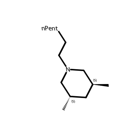 CCCCCCCN1C[C@@H](C)C[C@H](C)C1